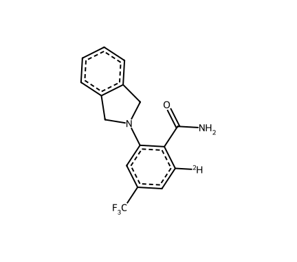 [2H]c1cc(C(F)(F)F)cc(N2Cc3ccccc3C2)c1C(N)=O